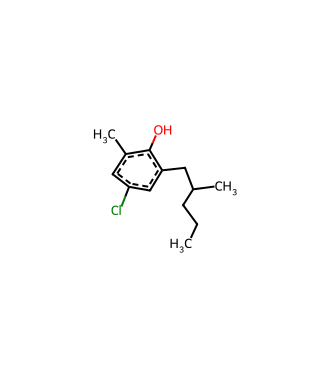 CCCC(C)Cc1cc(Cl)cc(C)c1O